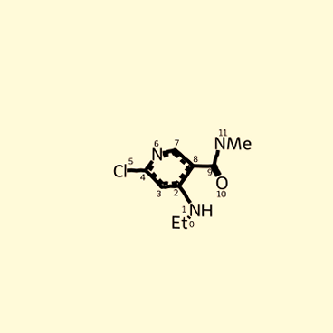 CCNc1cc(Cl)ncc1C(=O)NC